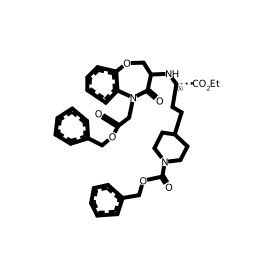 CCOC(=O)[C@H](CCC1CCN(C(=O)OCc2ccccc2)CC1)NC1COc2ccccc2N(CC(=O)OCc2ccccc2)C1=O